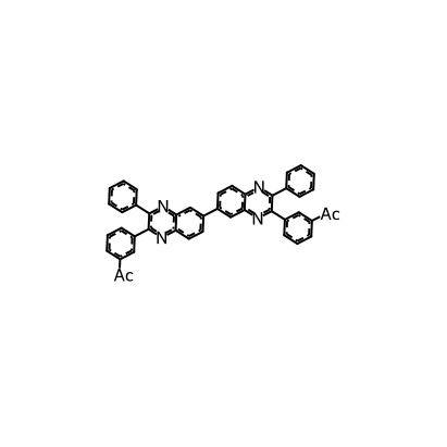 CC(=O)c1cccc(-c2nc3ccc(-c4ccc5nc(-c6ccccc6)c(-c6cccc(C(C)=O)c6)nc5c4)cc3nc2-c2ccccc2)c1